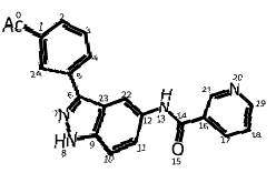 CC(=O)c1cccc(-c2n[nH]c3ccc(NC(=O)c4cccnc4)cc23)c1